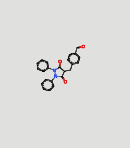 O=Cc1ccc(CC2C(=O)N(c3ccccc3)N(c3ccccc3)C2=O)cc1